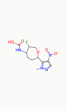 Cn1ncc([N+](=O)[O-])c1C1CCC(NC(=O)O)C(F)CO1